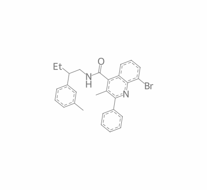 CCC(CNC(=O)c1c(C)c(-c2ccccc2)nc2c(Br)cccc12)c1cccc(C)c1